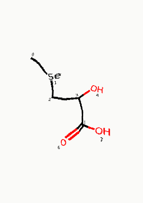 C[Se]CC(O)C(=O)O